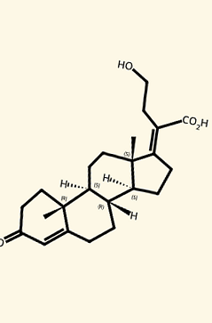 C[C@]12CCC(=O)C=C1CC[C@@H]1[C@@H]2CC[C@]2(C)C(=C(CCO)C(=O)O)CC[C@@H]12